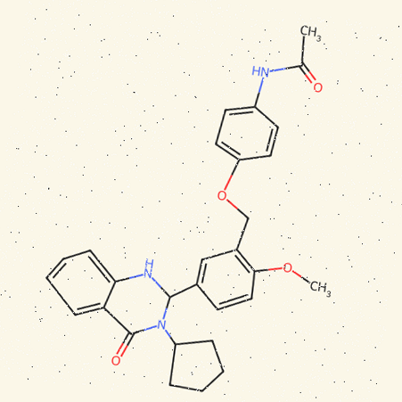 COc1ccc(C2Nc3ccccc3C(=O)N2C2CCCC2)cc1COc1ccc(NC(C)=O)cc1